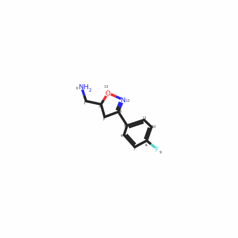 NCC1CC(c2ccc(F)cc2)=NO1